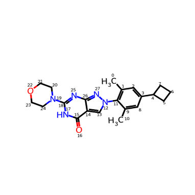 Cc1cc(C2CCC2)cc(C)c1-n1cc2c(=O)[nH]c(N3CCOCC3)nc2n1